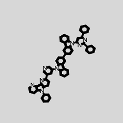 c1ccc(-c2cc(-n3c4ccccc4c4cc(-c5ccc6c(c5)c5ccccc5n6-c5cncc(-c6ccc7c(n6)c6ncccc6n7-c6ccccc6)c5)ccc43)nc(-c3ccccc3)n2)cc1